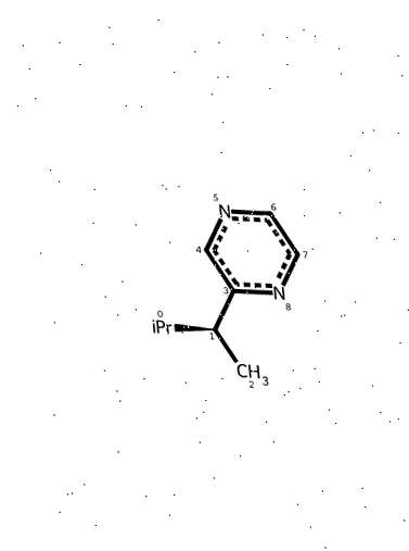 CC(C)[C@H](C)c1cnccn1